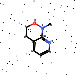 CN1OCCc2cccnc21